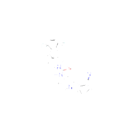 N#Cc1cccc(CN2CCC(NC(=O)N3CCC(=Cc4cc(F)ccc4F)CC3)CC2)c1